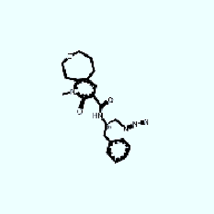 Cn1c2c(cc(C(=O)N[C@@H](CN=[N+]=[N-])Cc3ccccc3)c1=O)CCCCCC2